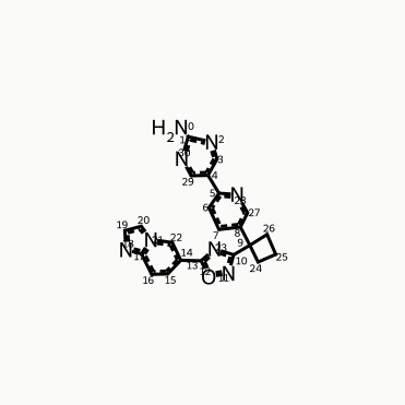 Nc1ncc(-c2ccc(C3(c4noc(-c5ccc6nccn6c5)n4)CCC3)cn2)cn1